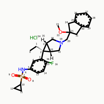 CC[C@]1(c2cc(NS(=O)(=O)C3CC3)ccc2F)[C@@H]2CN(CC3(OC)Cc4ccccc4C3)C[C@@H]21.Cl